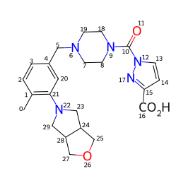 Cc1ccc(CN2CCN(C(=O)n3ccc(C(=O)O)n3)CC2)cc1N1CC2COCC2C1